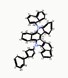 c1ccc(-c2ccc(-n3c4c5ccccc5ccc4c4c5c6ccccc6n(-c6cccc7ccccc67)c5c5ccccc5c43)cc2)cc1